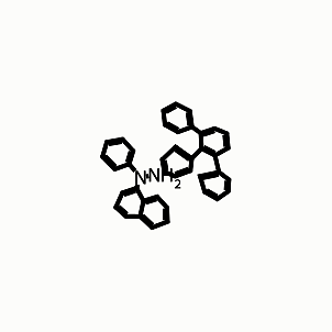 NN(c1ccccc1)c1cccc2ccccc12.c1ccc(-c2cccc(-c3ccccc3)c2-c2ccccc2)cc1